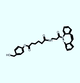 O=C(CCCCC(=O)Oc1ccc(CO)cc1)NCCC(=O)N1Cc2ccccc2C#Cc2ccccc21